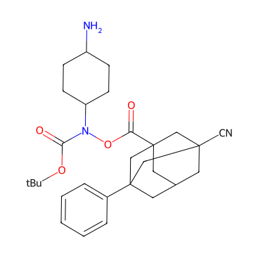 CC(C)(C)OC(=O)N(OC(=O)C12CC3CC(C#N)(C1)CC(c1ccccc1)(C3)C2)C1CCC(N)CC1